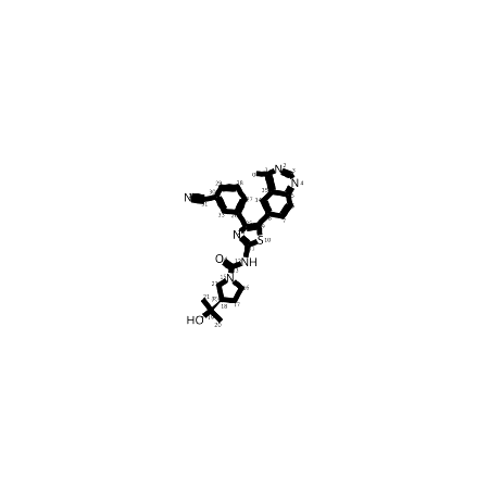 Cc1ncnc2ccc(-c3sc(NC(=O)N4CC[C@@H](C(C)(C)O)C4)nc3-c3cccc(C#N)c3)cc12